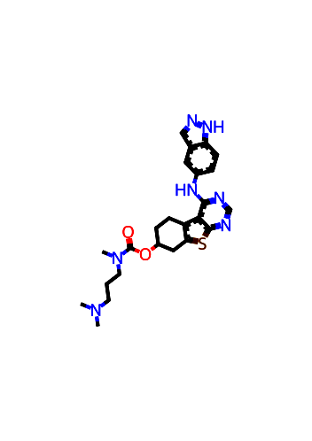 CN(C)CCCN(C)C(=O)OC1CCc2c(sc3ncnc(Nc4ccc5[nH]ncc5c4)c23)C1